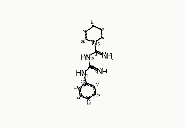 N=C(NC(=N)N1CCCCC1)Nc1ccccc1